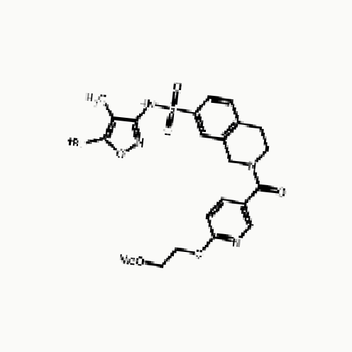 COCCOc1ccc(C(=O)N2CCc3ccc(S(=O)(=O)Nc4noc(C(C)(C)C)c4C)cc3C2)cn1